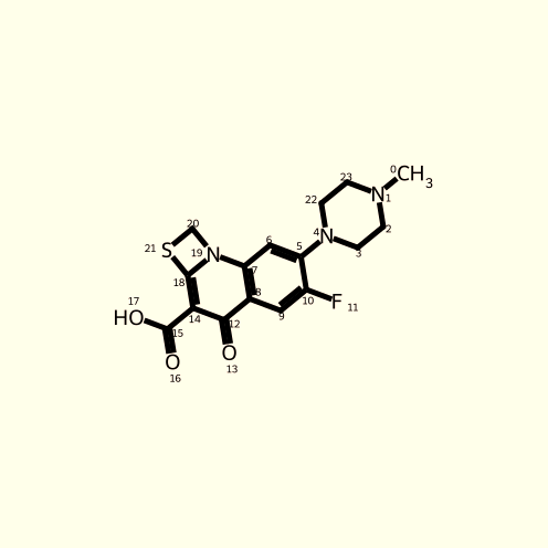 CN1CCN(c2cc3c(cc2F)c(=O)c(C(=O)O)c2n3CS2)CC1